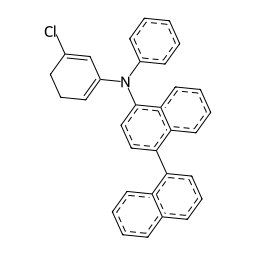 ClC1=CC(N(c2ccccc2)c2ccc(-c3cccc4ccccc34)c3ccccc23)=CCC1